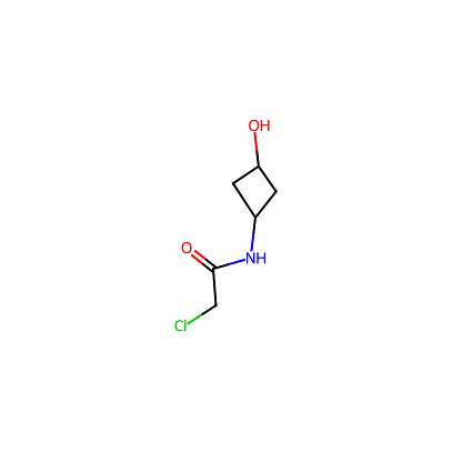 O=C(CCl)NC1CC(O)C1